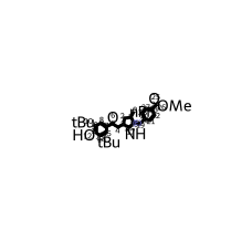 CCCC1CC(CC(=O)c2cc(C(C)(C)C)c(O)c(C(C)(C)C)c2)C(=N)/C1=C/c1ccc(C(=O)OC)cc1